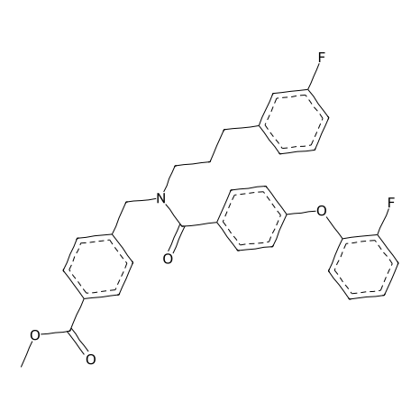 COC(=O)c1ccc(CN(CCCc2cccc(F)c2)C(=O)c2ccc(Oc3ccccc3F)cc2)cc1